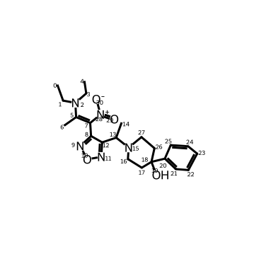 CCN(CC)/C(C)=C(/c1nonc1C(C)N1CCC(O)(c2ccccc2)CC1)[N+](=O)[O-]